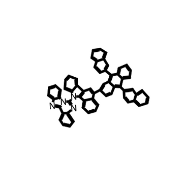 c1ccc2cc(-c3c4ccccc4c(-c4ccc5ccccc5c4)c4cc(-c5cc6c7ccccc7n(-c7nc8ccccc8c8nc9ccccc9n78)c6c6ccccc56)ccc34)ccc2c1